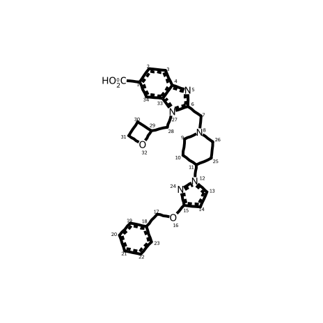 O=C(O)c1ccc2nc(CN3CCC(n4ccc(OCc5ccccc5)n4)CC3)n(CC3CCO3)c2c1